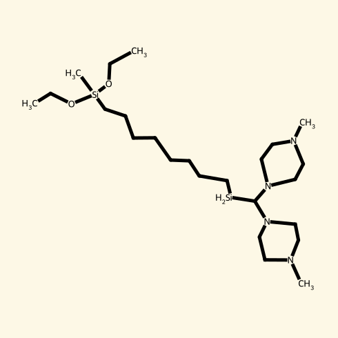 CCO[Si](C)(CCCCCCCC[SiH2]C(N1CCN(C)CC1)N1CCN(C)CC1)OCC